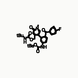 Cn1cc(-c2cc(NC(=O)OC(C)(C)C)ccc2C(=O)c2ccc(F)cc2)c(COC(=O)NC(C)(C)C)cc1=O